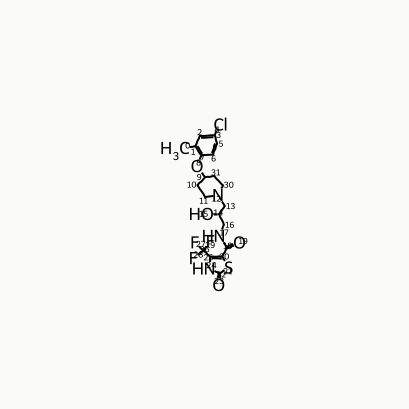 Cc1cc(Cl)ccc1OC1CCN(C[C@H](O)CNC(=O)c2sc(=O)[nH]c2C(F)(F)F)CC1